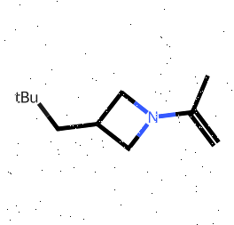 C=C(C)N1CC(CC(C)(C)C)C1